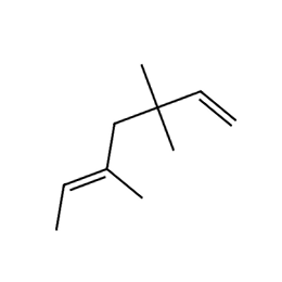 C=CC(C)(C)C/C(C)=C/C